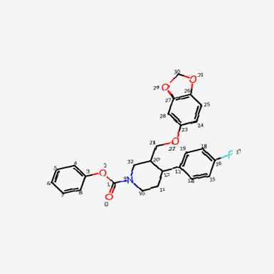 O=C(Oc1ccccc1)N1CCC(c2ccc(F)cc2)C(COc2ccc3c(c2)OCO3)C1